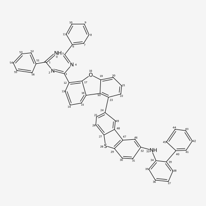 N=C(/N=C(\N=C\c1ccccc1)c1cccc2c1oc1cccc(-c3ccc4sc5ccc(Nc6ccccc6-c6ccccc6)cc5c4c3)c12)c1ccccc1